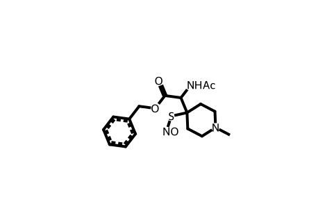 CC(=O)NC(C(=O)OCc1ccccc1)C1(SN=O)CCN(C)CC1